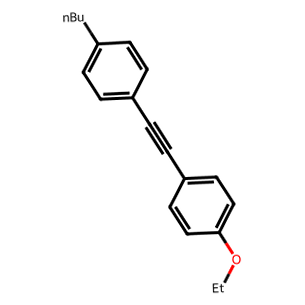 CCCCc1ccc(C#Cc2ccc(OCC)cc2)cc1